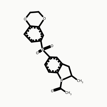 CC(=O)N1c2ccc(S(=O)(=O)c3ccc4c(c3)OCCO4)cc2CC1C